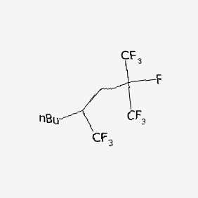 CCCCC(CC(F)(C(F)(F)F)C(F)(F)F)C(F)(F)F